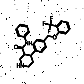 O=C(Nc1ccccc1)C1CNCCC1c1ccc(COc2ccccc2C(F)(F)F)cc1